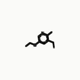 CCOc1cnc(C)c(CC)c1